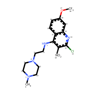 CN1CCN(CCNc2c([N+](=O)[O-])c(Cl)nc3cc(OC(F)(F)F)ccc23)CC1